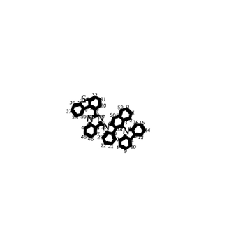 c1ccc2c(-n3c4ccccc4c4ccccc43)c3c4ccccc4n(-c4nc(-c5cccc6sc7ccccc7c56)nc5ccccc45)c3cc2c1